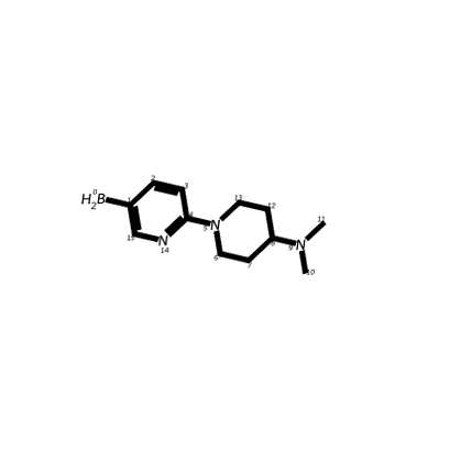 Bc1ccc(N2CCC(N(C)C)CC2)nc1